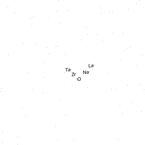 [La].[Na].[O].[Ta].[Zr]